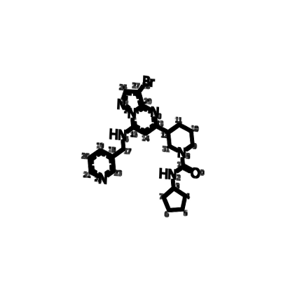 O=C(NC1CCCC1)N1CCCC(c2cc(NCc3cccnc3)n3ncc(Br)c3n2)C1